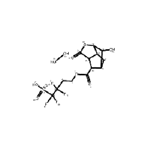 O=C(OCCC(F)(F)C(F)(F)S(=O)(=O)O)C1C2CC3C(OC(=O)C31)C2O.OO